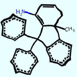 CC12CC=CC(N)=C1C(c1ccccc1)(c1ccccc1)c1ccccc12